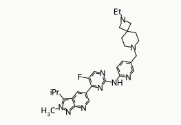 CCN1CC2(CCN(Cc3ccc(Nc4ncc(F)c(-c5cnc6nn(C)c(C(C)C)c6c5)n4)nc3)CC2)C1